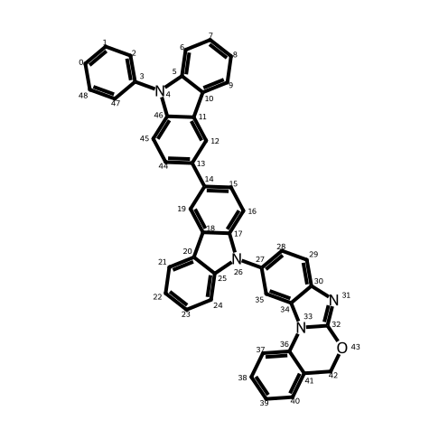 c1ccc(-n2c3ccccc3c3cc(-c4ccc5c(c4)c4ccccc4n5-c4ccc5nc6n(c5c4)-c4ccccc4CO6)ccc32)cc1